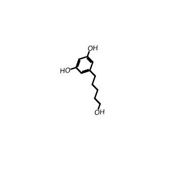 OCCCCCc1cc(O)cc(O)c1